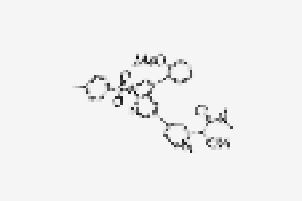 COc1ccccc1-c1cn(S(=O)(=O)c2ccc(C)cc2)c2ncc(-c3ccnc(C(C#N)C(=O)N(C)C)c3)cc12